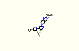 CNc1ncc2c(n1)CCN(c1cc(-c3ncc(C)cc3C)c(Cl)cn1)C2